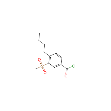 CCCCc1ccc(C(=O)Cl)cc1S(C)(=O)=O